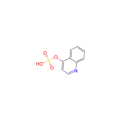 O=S(=O)(O)Oc1ccnc2ccccc12